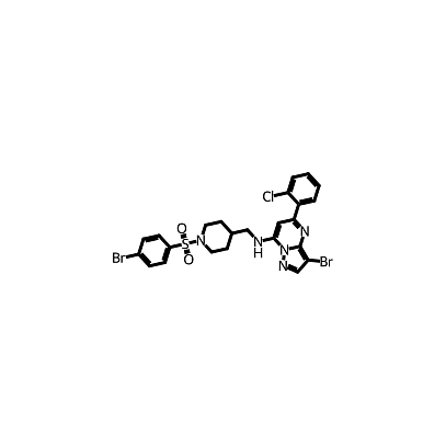 O=S(=O)(c1ccc(Br)cc1)N1CCC(CNc2cc(-c3ccccc3Cl)nc3c(Br)cnn23)CC1